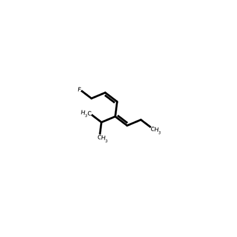 CC/C=C(\C=C/CF)C(C)C